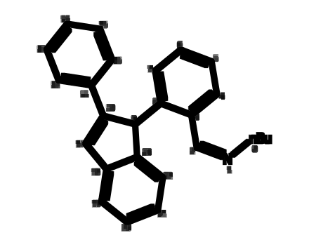 CCCC/N=C\c1ccccc1C1C(c2ccccc2)=Cc2ccccc21